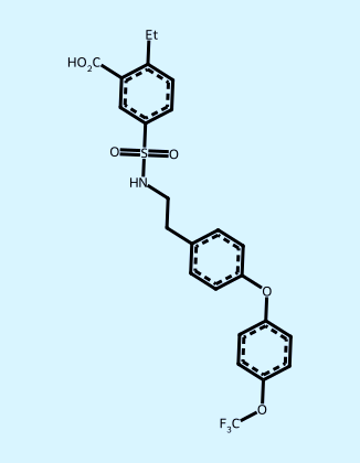 CCc1ccc(S(=O)(=O)NCCc2ccc(Oc3ccc(OC(F)(F)F)cc3)cc2)cc1C(=O)O